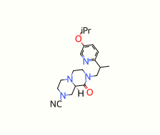 CC(C)Oc1ccc(C(C)CN2CCN3CCN(C#N)C[C@@H]3C2=O)nc1